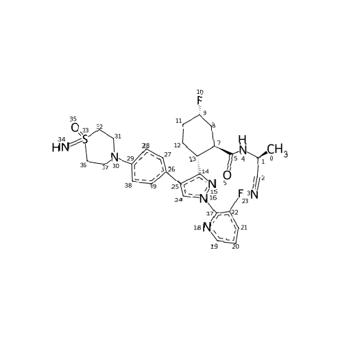 C[C@@H](C#N)NC(=O)[C@@H]1C[C@@H](F)CC[C@H]1c1nn(-c2ncccc2F)cc1-c1ccc(N2CCS(=N)(=O)CC2)cc1